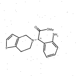 COC(=O)[C@H](c1ccccc1[SiH3])N1CCc2sccc2C1